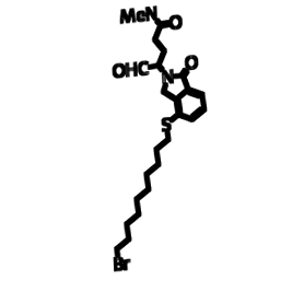 CNC(=O)CCC(C=O)N1Cc2c(SCCCCCCCCCCBr)cccc2C1=O